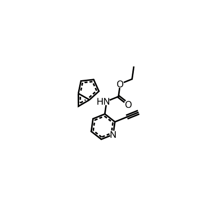 C#Cc1ncccc1NC(=O)OCC.c1cc2cc-2c1